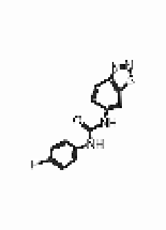 O=C(Nc1ccc(F)cc1)Nc1ccc2nnsc2c1